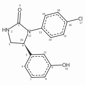 O=C1NC[C@H](c2cccc(O)c2)N1c1ccc(Cl)cc1